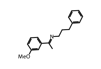 COc1cccc(C(C)=NCCCc2ccccc2)c1